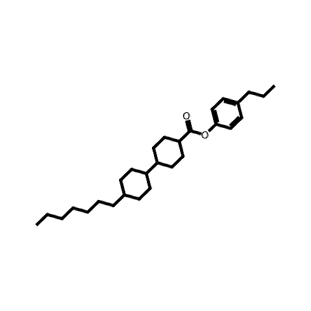 CCCCCCCC1CCC(C2CCC(C(=O)Oc3ccc(CCC)cc3)CC2)CC1